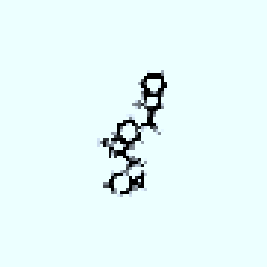 O=C(c1cc2ccccc2[nH]1)N1CCc2[nH]nc(C(=O)N3CCOCC34CC4)c2C1